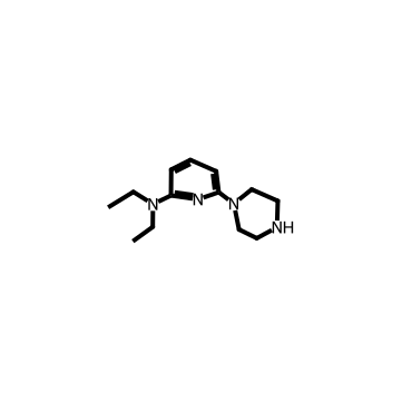 CCN(CC)c1cccc(N2CCNCC2)n1